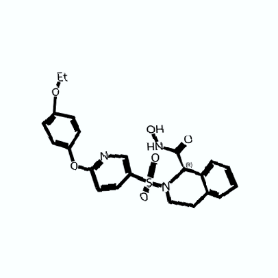 CCOc1ccc(Oc2ccc(S(=O)(=O)N3CCc4ccccc4[C@@H]3C(=O)NO)cn2)cc1